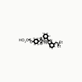 CCN(CC)Cc1cccc2[nH]c(-c3ccccc3NS(=O)(=O)c3ccc(OCC(=O)O)cc3)nc12